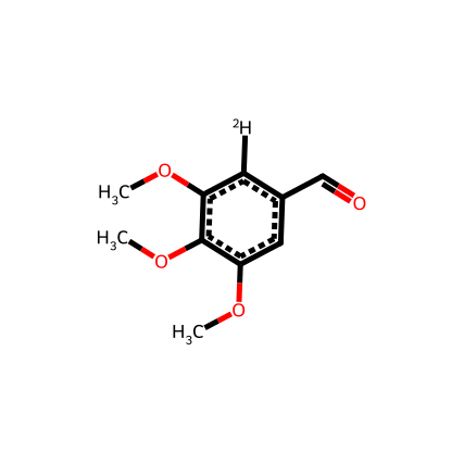 [2H]c1c(C=O)cc(OC)c(OC)c1OC